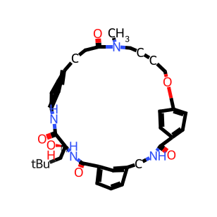 CN1CCCCOc2ccc(cc2)C(=O)NCc2cccc(c2)C(=O)N[C@](O)(CC(C)(C)C)C(=O)Nc2ccc(cc2)CCC1=O